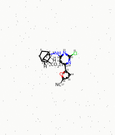 CCOC(=O)[C@@H]1C2CCC(CC2)[C@H]1Nc1cc(-c2ccc(C#N)o2)nc(Cl)n1